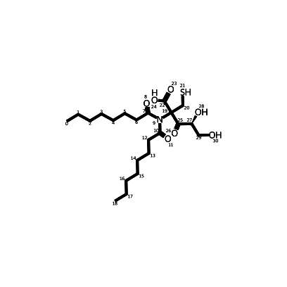 CCCCCCCC(=O)N(C(=O)CCCCCCC)C(CS)(C(=O)O)C(=O)[C@@H](O)CO